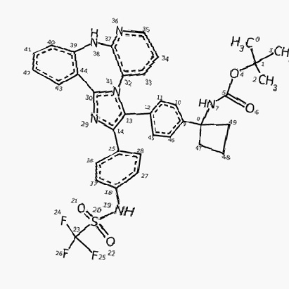 CC(C)(C)OC(=O)NC1(c2ccc(-c3c(-c4ccc(NS(=O)(=O)C(F)(F)F)cc4)nc4n3-c3cccnc3Nc3ccccc3-4)cc2)CCC1